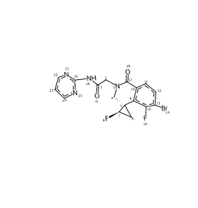 O=C(CN1C[C@@]2(C[C@H]2F)c2c(ccc(Br)c2F)C1=O)Nc1ncccn1